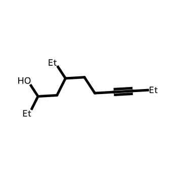 CCC#CCCC(CC)CC(O)CC